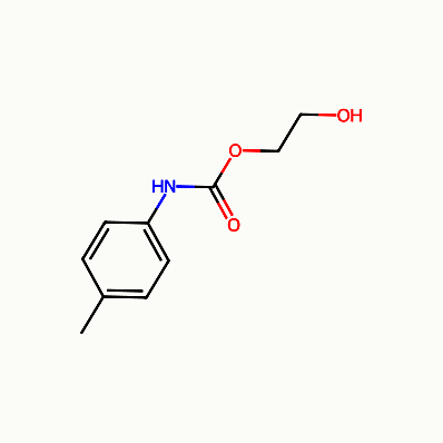 Cc1ccc(NC(=O)OCCO)cc1